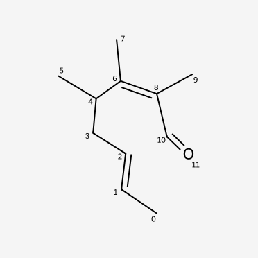 CC=CCC(C)C(C)=C(C)C=O